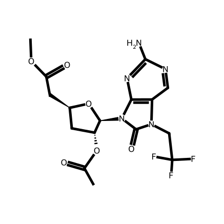 COC(=O)C[C@@H]1C[C@@H](OC(C)=O)[C@H](n2c(=O)n(CC(F)(F)F)c3cnc(N)nc32)O1